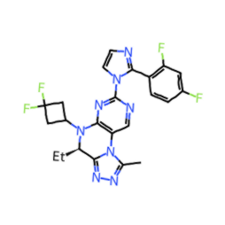 CC[C@@H]1c2nnc(C)n2-c2cnc(-n3ccnc3-c3ccc(F)cc3F)nc2N1C1CC(F)(F)C1